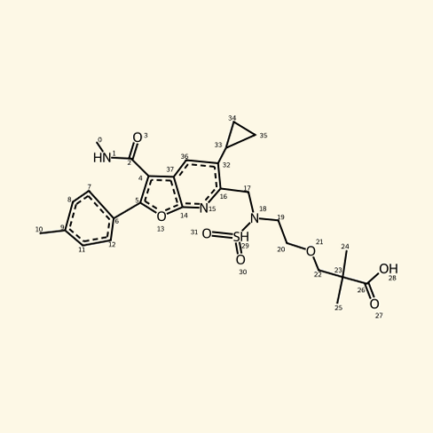 CNC(=O)c1c(-c2ccc(C)cc2)oc2nc(CN(CCOCC(C)(C)C(=O)O)[SH](=O)=O)c(C3CC3)cc12